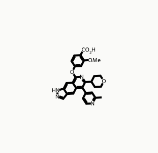 COc1cc(Oc2nc(C3CCOCC3)c(-c3ccnc(C)c3)c3cc4cn[nH]c4cc23)ccc1C(=O)O